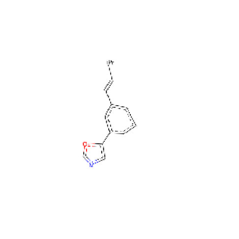 CC(C)/C=C/c1cccc(-c2cnco2)c1